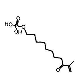 C=C(C)C(=O)CCCCCCCCOP(=O)(O)O